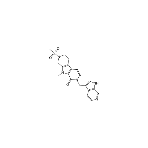 Cn1c2c(c3cnn(Cc4c[nH]c5cnccc45)c(=O)c31)CCN(S(C)(=O)=O)C2